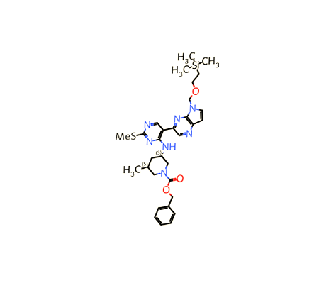 CSc1ncc(-c2cnc3ccn(COCC[Si](C)(C)C)c3n2)c(N[C@H]2C[C@H](C)CN(C(=O)OCc3ccccc3)C2)n1